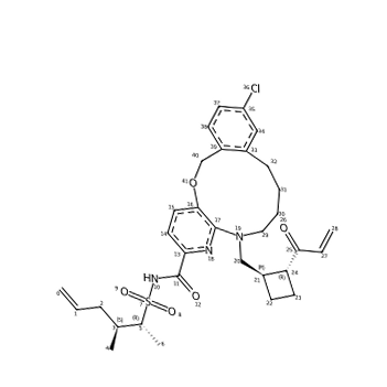 C=CC[C@H](C)[C@@H](C)S(=O)(=O)NC(=O)c1ccc2c(n1)N(C[C@@H]1CC[C@H]1C(=O)C=C)CCCCc1cc(Cl)ccc1CO2